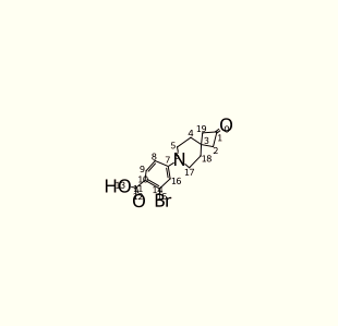 O=C1CC2(CCN(c3ccc(C(=O)O)c(Br)c3)CC2)C1